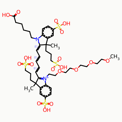 COCCOCCOCCOCC[N+]1=C(/C=C/C=C/C=C2/N(CCCCCC(=O)O)c3ccc(S(=O)(=O)O)cc3C2(C)CCCS(=O)(=O)O)C(C)(CCCS(=O)(=O)O)c2cc(S(=O)(=O)O)ccc21